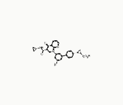 O=C(NC1CC1)c1cn(-c2cc(Br)cc(-c3ccc([C@@H]4C[C@H]4C(=O)O)cc3)c2)c2ncccc2c1=O